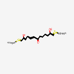 CCCCCCCSCC(O)CCCCC(=O)CCCCC(O)CSCCCCCCC